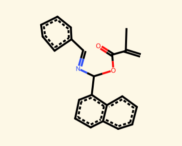 C=C(C)C(=O)OC(N=Cc1ccccc1)c1cccc2ccccc12